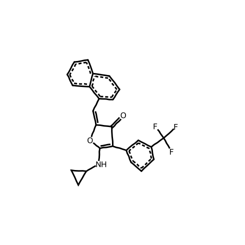 O=C1C(=Cc2cccc3ccccc23)OC(NC2CC2)=C1c1cccc(C(F)(F)F)c1